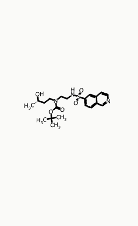 C[C@H](O)CCN(CCNS(=O)(=O)c1ccc2cnccc2c1)C(=O)OC(C)(C)C